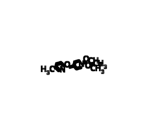 Cc1ccc(OCC2CCN(C(=O)OC(C)(C)C)CC2)nc1